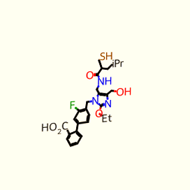 CCOc1nc(CO)c(CNC(=O)C(CS)CC(C)C)n1Cc1ccc(-c2ccccc2C(=O)O)cc1F